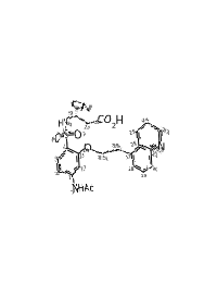 CC(=O)Nc1ccc(S(=O)(=O)N[C@H](C#N)CC(=O)O)c(OCCc2cccc3ncccc23)c1